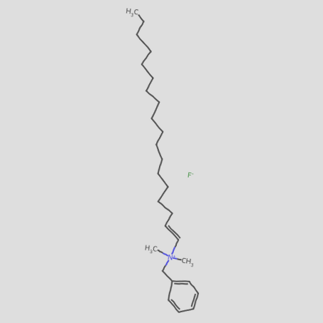 CCCCCCCCCCCCCCCC/C=C/[N+](C)(C)Cc1ccccc1.[F-]